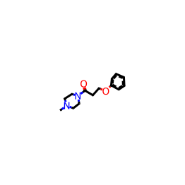 CN1CCN(C(=O)CCOc2ccccc2)CC1